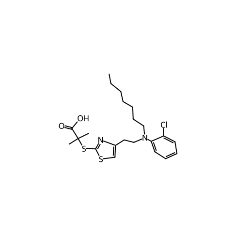 CCCCCCCN(CCc1csc(SC(C)(C)C(=O)O)n1)c1ccccc1Cl